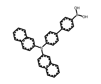 OB(O)c1ccc(-c2ccc(N(c3ccc4ccccc4c3)c3ccc4ccccc4c3)cc2)cc1